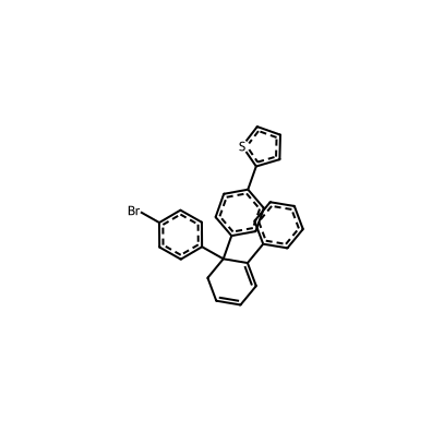 Brc1ccc(C2(c3ccc(-c4cccs4)cc3)CC=CC=C2c2ccccc2)cc1